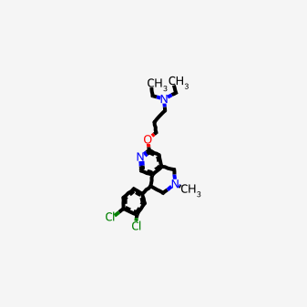 CCN(CC)CCCOc1cc2c(cn1)C(c1ccc(Cl)c(Cl)c1)CN(C)C2